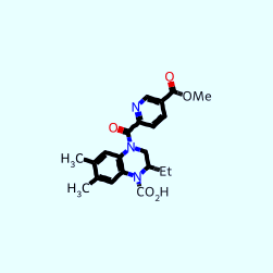 CCC1CN(C(=O)c2ccc(C(=O)OC)cn2)c2cc(C)c(C)cc2N1C(=O)O